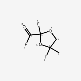 CC1(F)COC(F)(C(=O)F)O1